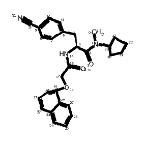 CN(C(=O)[C@H](Cc1ccc(C#N)cc1)NC(=O)COc1cccc2ccccc12)C1CCCC1